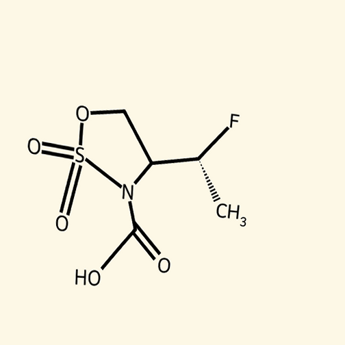 C[C@@H](F)C1COS(=O)(=O)N1C(=O)O